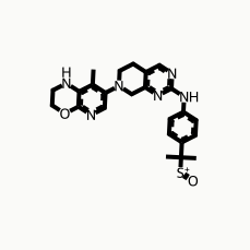 Cc1c(N2CCc3cnc(Nc4ccc(C(C)(C)[S+]=O)cc4)nc3C2)cnc2c1NCCO2